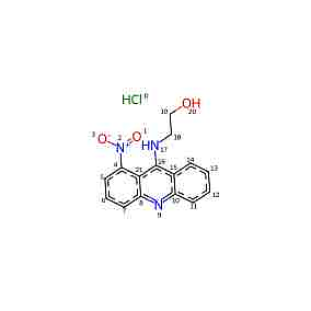 Cl.O=[N+]([O-])c1cccc2nc3ccccc3c(NCCO)c12